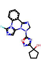 OC1(c2noc(N3CN=C4c5ccccc5-n5c(cnc5F)N43)n2)CCCC1